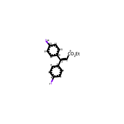 CCOC(=O)C=C(c1ccc(I)cc1)c1ccc(I)cc1